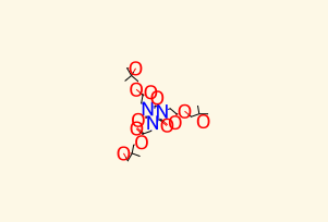 CC1(COC(=O)Cn2c(=O)n(CC(=O)OCC3(C)CO3)c(=O)n(CC(=O)OCC3(C)CO3)c2=O)CO1